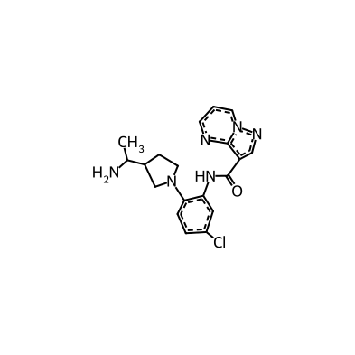 CC(N)C1CCN(c2ccc(Cl)cc2NC(=O)c2cnn3cccnc23)C1